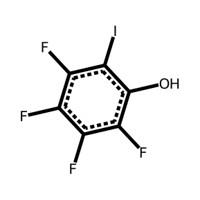 Oc1c(F)c(F)c(F)c(F)c1I